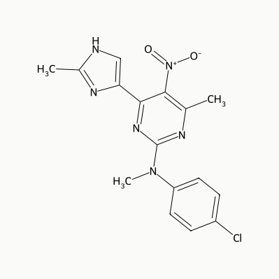 Cc1nc(-c2nc(N(C)c3ccc(Cl)cc3)nc(C)c2[N+](=O)[O-])c[nH]1